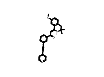 COc1ccc2c(c1)C(=CC(=O)c1cccc(C#Cc3ccncc3)c1)NC(C)(C)C2